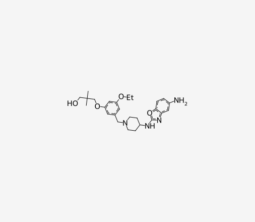 CCOc1cc(CN2CCC(Nc3nc4cc(N)ccc4o3)CC2)cc(OCC(C)(C)CO)c1